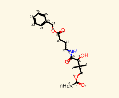 CCCCCCC(=O)OCC(C)(C)C(O)C(=O)NCCCC(=O)OCc1ccccc1